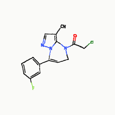 N#Cc1cnn2c1N(C(=O)CCl)CC=C2c1cccc(F)c1